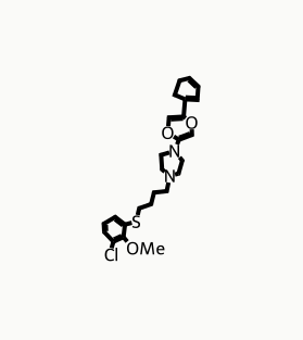 COc1c(Cl)cccc1SCCCCN1CCN(C2=COC(C3=CC=CCC3)=CO2)CC1